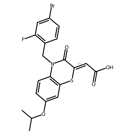 CC(C)Oc1ccc2c(c1)S/C(=C\C(=O)O)C(=O)N2Cc1ccc(Br)cc1F